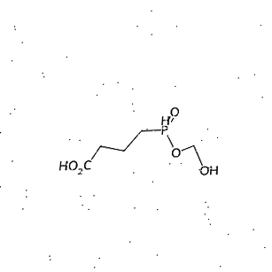 O=C(O)CCC[PH](=O)OCO